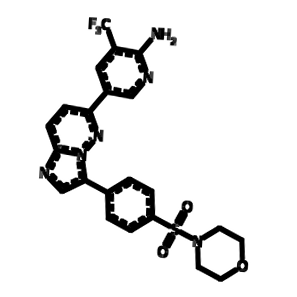 Nc1ncc(-c2ccc3ncc(-c4ccc(S(=O)(=O)N5CCOCC5)cc4)n3n2)cc1C(F)(F)F